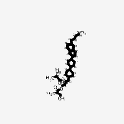 C=C(CO)C(=O)OCCC(CC1CCC(C2CCC(c3ccc4cc(CCCCC)ccc4c3)CC2)CC1)OC(O)C(=C)C